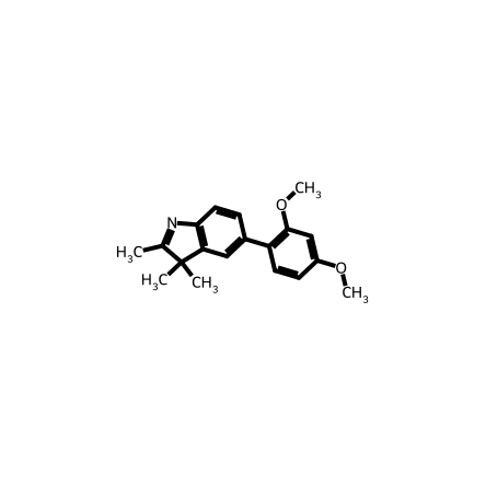 COc1ccc(-c2ccc3c(c2)C(C)(C)C(C)=N3)c(OC)c1